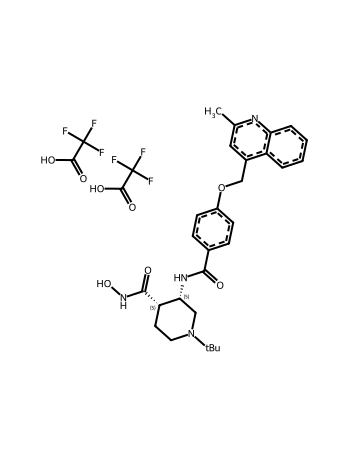 Cc1cc(COc2ccc(C(=O)N[C@@H]3CN(C(C)(C)C)CC[C@@H]3C(=O)NO)cc2)c2ccccc2n1.O=C(O)C(F)(F)F.O=C(O)C(F)(F)F